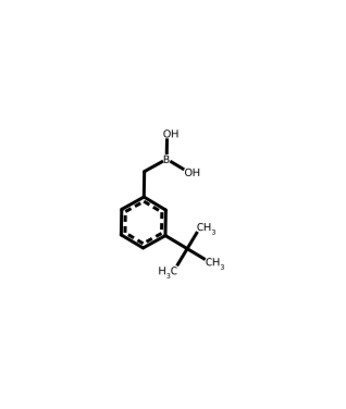 CC(C)(C)c1cccc(CB(O)O)c1